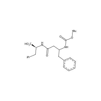 CC(C)C[C@H](NC(=O)CC(Cc1ccccc1)NC(=O)OC(C)(C)C)C(=O)O